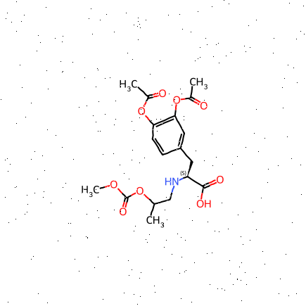 COC(=O)OC(C)CN[C@@H](Cc1ccc(OC(C)=O)c(OC(C)=O)c1)C(=O)O